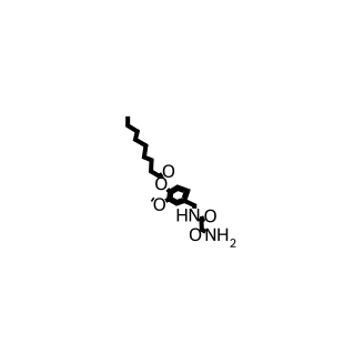 CCCCCCCCC(=O)Oc1ccc(CNC(=O)C(N)=O)cc1OC